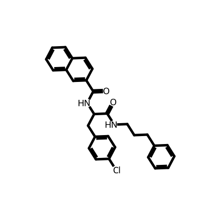 O=C(NC(Cc1ccc(Cl)cc1)C(=O)NCCCc1ccccc1)c1ccc2ccccc2c1